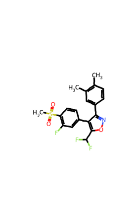 Cc1ccc(-c2noc(C(F)F)c2-c2ccc(S(C)(=O)=O)c(F)c2)cc1C